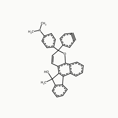 CN(C)c1ccc(C2(c3cc#ccc3)C=Cc3c4c(c5ccccc5c3O2)-c2ccccc2C4(C)O)cc1